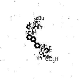 CC(C)[C@H](NC(=O)O)C(=O)N1CC(F)(F)C[C@H]1c1nc2ccc(-c3ccc4c(ccc5nc([C@@H]6CCCN6C(=O)[C@@H](NC(=O)OC(C)(C)C)C(C)C)[nH]c54)c3)cc2[nH]1